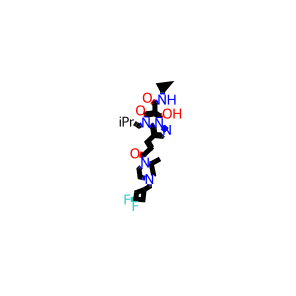 CC(C)Cn1c(=O)c(C(=O)NC2CC2)c(O)n2ncc(C=CC(=O)N3CCN(CC4CC(F)(F)C4)CC3C)c12